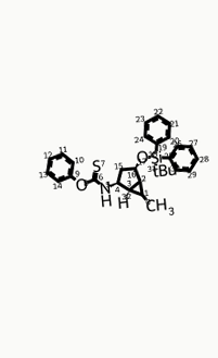 CC1C2[C@@H]1[C@@H](NC(=S)Oc1ccccc1)C[C@H]2O[Si](c1ccccc1)(c1ccccc1)C(C)(C)C